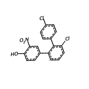 O=[N+]([O-])c1cc(-c2[c]ccc(Cl)c2-c2ccc(Cl)cc2)ccc1O